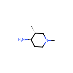 C[C@@H]1CN(C)CC[C@H]1N